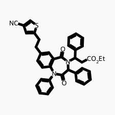 CCOC(=O)CC(c1ccccc1)N1C(=O)c2cc(CCc3cc(C#N)cs3)ccc2N(c2ccccc2)C(=O)C1c1ccccc1